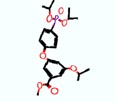 COC(=O)c1cc(Oc2ccc(P(=O)(OC(C)C)OC(C)C)cc2)cc(OC(C)C)c1